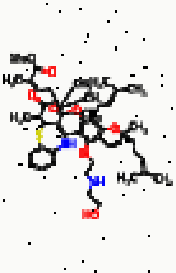 COC(=O)/C(C)=C\CC12OC(C)(C)C(C)C13Oc1c(CC=C(C)C)c4c(c(OCCNCCO)c1C1=C3C(Sc3ccccc3N1)C(C)C2=O)C=CC(C)(CCC=C(C)C)O4